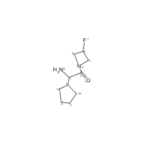 NC(C(=O)N1CC(F)C1)C1CCCC1